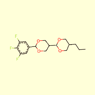 CCCC1COC(C2COC(c3cc(F)c(F)c(F)c3)OC2)OC1